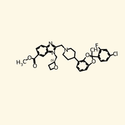 COC(=O)c1ccc2nc(CN3CCC(c4cccc5c4O[C@](C)(c4ccc(Cl)cc4F)O5)CC3)n(C[C@@H]3CCO3)c2c1